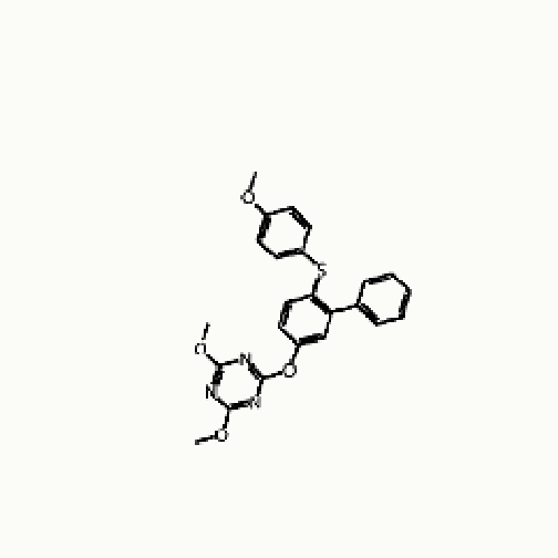 COc1ccc(Sc2ccc(Oc3nc(OC)nc(OC)n3)cc2-c2ccccc2)cc1